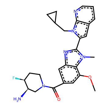 COc1cc(C(=O)N2CC[C@H](F)[C@H](N)C2)cc2nc(-c3cc4cccnc4n3CC3CC3)n(C)c12